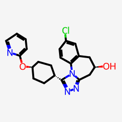 O[C@@H]1Cc2cc(Cl)ccc2-n2c(nnc2[C@H]2CC[C@H](Oc3ccccn3)CC2)C1